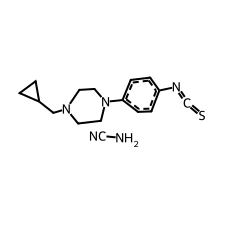 N#CN.S=C=Nc1ccc(N2CCN(CC3CC3)CC2)cc1